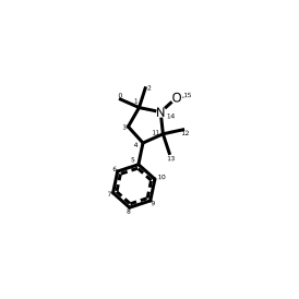 CC1(C)CC(c2ccccc2)C(C)(C)N1[O]